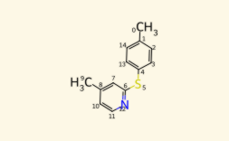 Cc1ccc(Sc2cc(C)ccn2)cc1